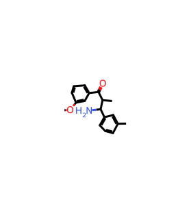 COc1cccc(C(=O)C(C)C(N)c2cccc(C)c2)c1